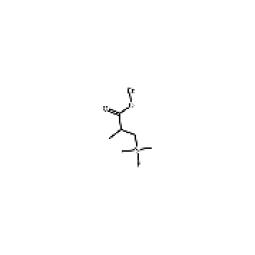 CCOC(=O)C(C)C[Si](C)(C)F